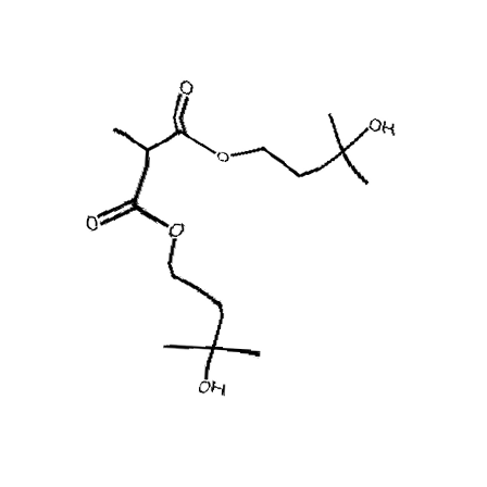 CC(C(=O)OCCC(C)(C)O)C(=O)OCCC(C)(C)O